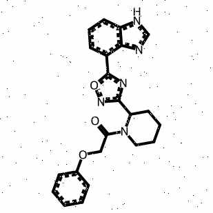 O=C(COc1ccccc1)N1CCCCC1c1noc(-c2cccc3[nH]cnc23)n1